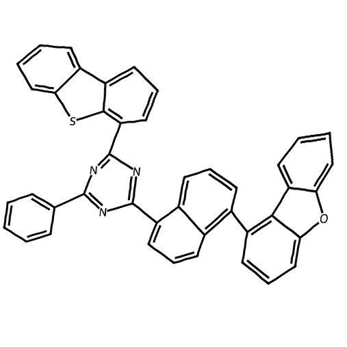 c1ccc(-c2nc(-c3cccc4c(-c5cccc6oc7ccccc7c56)cccc34)nc(-c3cccc4c3sc3ccccc34)n2)cc1